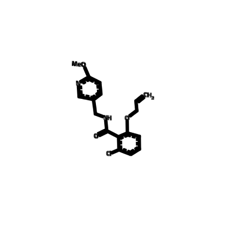 C=CCOc1cccc(Cl)c1C(=O)NCc1ccc(OC)nc1